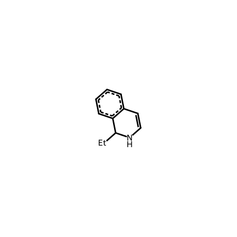 CCC1NC=Cc2ccccc21